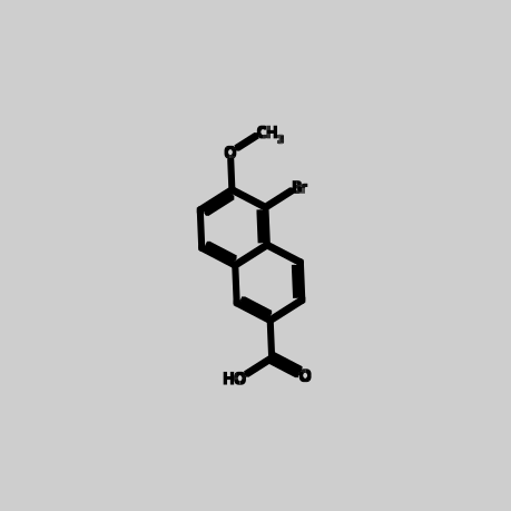 COc1ccc2cc(C(=O)O)ccc2c1Br